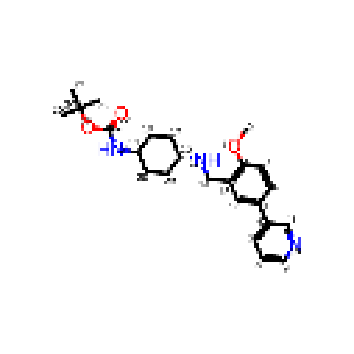 COc1ccc(-c2cccnc2)cc1CN[C@H]1CC[C@H](NC(=O)OC(C)(C)C)CC1